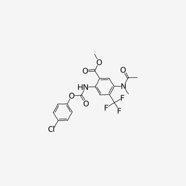 COC(=O)c1cc(N(C)C(C)=O)c(C(F)(F)F)cc1NC(=O)Oc1ccc(Cl)cc1